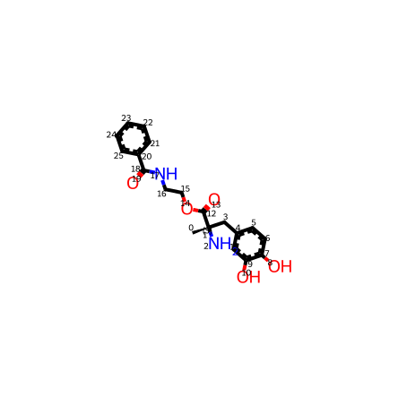 C[C@](N)(Cc1ccc(O)c(O)c1)C(=O)OCCNC(=O)c1ccccc1